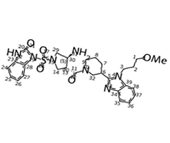 COCCCn1c(C2CCCN(C(=O)[C@@H]3CN(S(=O)(=O)n4c(=O)[nH]c5ccccc54)C[C@H]3N)C2)nc2ccccc21